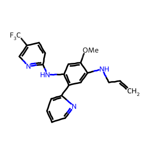 C=CCNc1cc(-c2ccccn2)c(Nc2ccc(C(F)(F)F)cn2)cc1OC